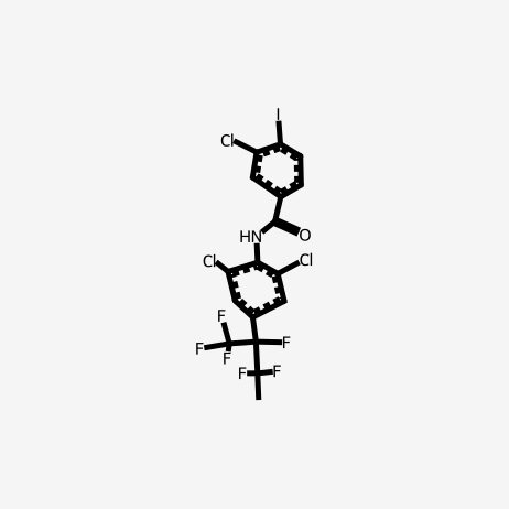 CC(F)(F)C(F)(c1cc(Cl)c(NC(=O)c2ccc(I)c(Cl)c2)c(Cl)c1)C(F)(F)F